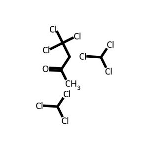 CC(=O)CC(Cl)(Cl)Cl.ClC(Cl)Cl.ClC(Cl)Cl